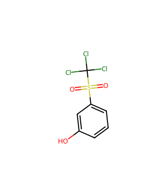 O=S(=O)(c1cccc(O)c1)C(Cl)(Cl)Cl